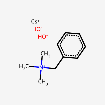 C[N+](C)(C)Cc1ccccc1.[Cs+].[OH-].[OH-]